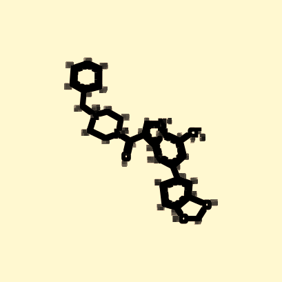 O=C(c1cnn2c(C(F)(F)F)cc(-c3ccc4c(c3)OCO4)nc12)N1CCN(Cc2ccccc2)CC1